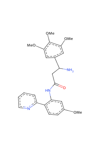 COc1ccc(-c2ccccn2)c(NC(=O)CC(N)c2cc(OC)c(OC)c(OC)c2)c1